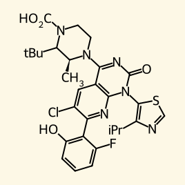 CC(C)c1ncsc1-n1c(=O)nc(N2CCN(C(=O)O)C(C(C)(C)C)[C@@H]2C)c2cc(Cl)c(-c3c(O)cccc3F)nc21